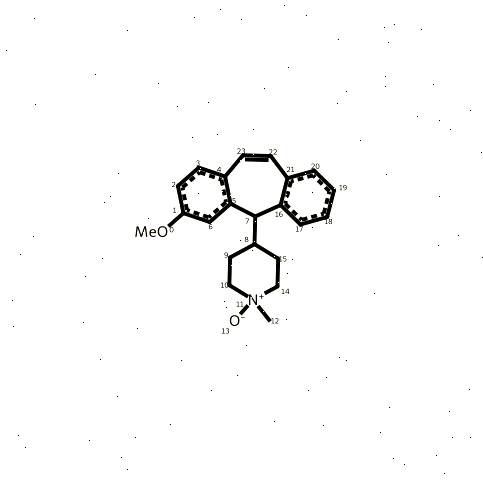 COc1ccc2c(c1)C(C1CC[N+](C)([O-])CC1)c1ccccc1C=C2